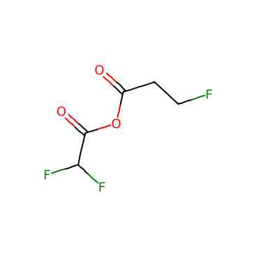 O=C(CCF)OC(=O)C(F)F